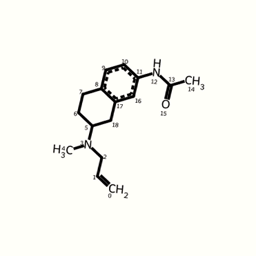 C=CCN(C)C1CCc2ccc(NC(C)=O)cc2C1